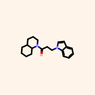 O=C(CCn1ccc2ccccc21)N1CCCC2CCCCC21